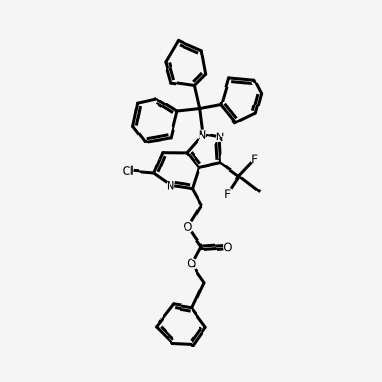 CC(F)(F)c1nn(C(c2ccccc2)(c2ccccc2)c2ccccc2)c2cc(Cl)nc(COC(=O)OCc3ccccc3)c12